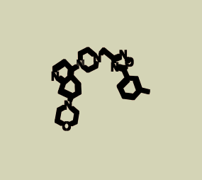 Cc1cccc(-c2nc(CN3CCN(c4ccnc5cc(N6CCOCC6)ccc45)CC3)no2)c1